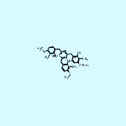 COc1ccc(Cc2nc(Cc3ccc(OC)c(C)c3O)nc(Cc3ccc(OC)c(C)c3O)n2)c(O)c1C